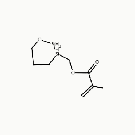 C=C(C)C(=O)OC[SiH]1CCCO[SiH2]1